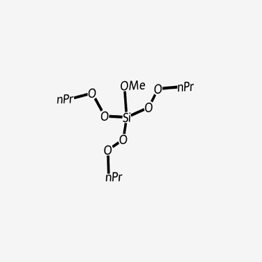 CCCOO[Si](OC)(OOCCC)OOCCC